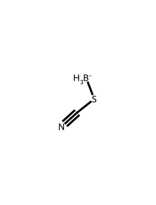 [BH3-]SC#N